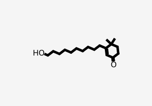 CC1(C)CCC(=O)C=C1CCCCCCCCCCO